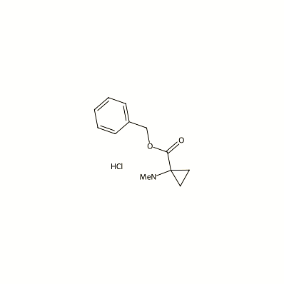 CNC1(C(=O)OCc2ccccc2)CC1.Cl